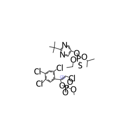 CCOP(=S)(Oc1cnc(C(C)(C)C)nc1)OC(C)C.COP(=O)(OC)O/C(=C\Cl)c1cc(Cl)c(Cl)cc1Cl